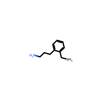 NCCCc1ccccc1C[SiH3]